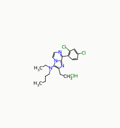 CCCCN(CC)c1c(CC)nc2c(-c3ccc(Cl)cc3Cl)nccn12.Cl